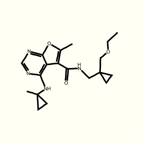 CCOCC1(CNC(=O)c2c(C)oc3ncnc(NC4(C)CC4)c23)CC1